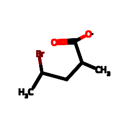 CC(Br)CC(C)C([O])=O